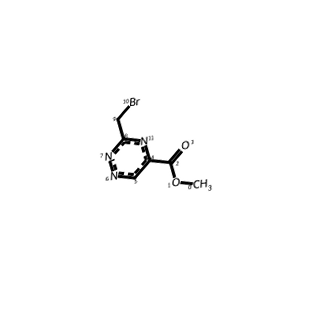 COC(=O)c1cnnc(CBr)n1